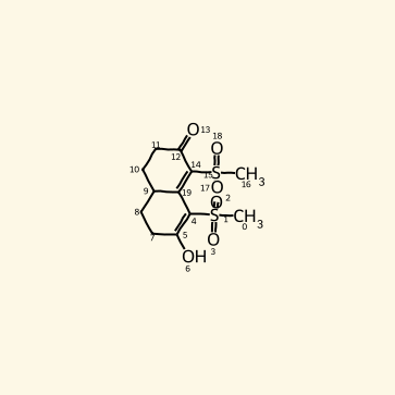 CS(=O)(=O)C1=C(O)CCC2CCC(=O)C(S(C)(=O)=O)=C12